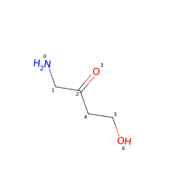 NCC(=O)CCO